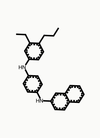 CCCc1ccc(Nc2ccc(Nc3ccc4ccccc4c3)cc2)cc1CC